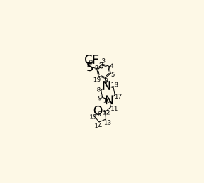 FC(F)(F)Sc1cccc(N2CCN(CC3CCCO3)CC2)c1